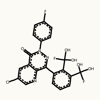 O=c1c2cc(Cl)cnc2c(-c2cccc(C(O)(O)F)c2C(O)(O)F)nn1-c1ccc(F)cc1